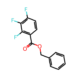 O=C(OCc1ccccc1)c1ccc(F)c(F)c1F